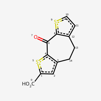 O=C(O)c1cc2c(s1)C(=O)c1sccc1CC2